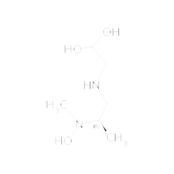 C[C@H](CNCC(O)O)N(C)O